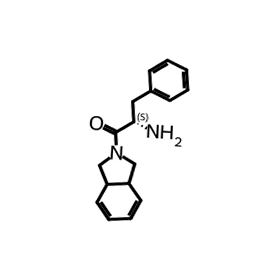 N[C@@H](Cc1ccccc1)C(=O)N1CC2C=CC=CC2C1